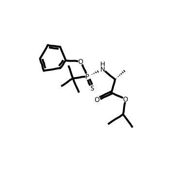 CC(C)OC(=O)[C@@H](C)N[P@@](=S)(Oc1ccccc1)C(C)(C)C